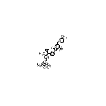 Cc1sc(CO[Si](C)(C)C(C)(C)C)nc1C(c1cccc(-n2cc3c(C(F)(F)F)cc(CN4CCC[C@H](C)C4)cn3c2=O)c1)C1CCC1